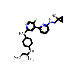 COC[C@H](C)[AsH]C1CCC([AsH]c2cc(-c3cccc(NCC4(C#N)CC4)n3)c(F)cn2)CC1